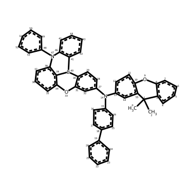 CC1(C)c2ccccc2Oc2ccc(N(c3ccc(-c4ccccc4)cc3)c3ccc4c(c3)Oc3cccc5c3B4c3ccccc3N5c3ccccc3)cc21